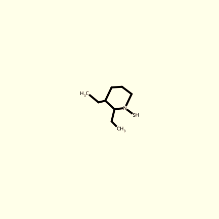 CCC1CCCN(S)C1CC